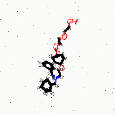 OCCOCCO[C@H]1CC[C@H](OCCN(Cc2ccccc2)Cc2ccccc2)CC1